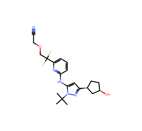 CC(C)(C)n1nc([C@H]2CC[C@@H](O)C2)cc1Nc1cccc(C(F)(F)COCC#N)n1